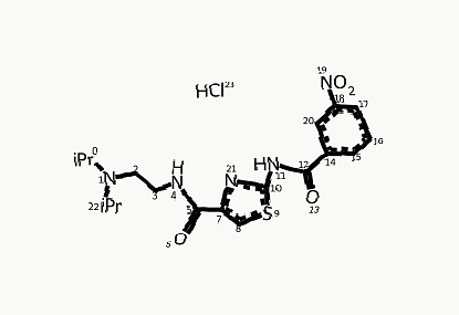 CC(C)N(CCNC(=O)c1csc(NC(=O)c2cccc([N+](=O)[O-])c2)n1)C(C)C.Cl